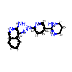 Nc1ncc2ccccc2c1/N=N/c1ccc(C2=NCCCN2)cn1